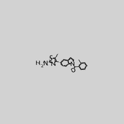 Cc1ccccc1C(=O)n1ccc2cc(-c3nc(N)sc3C)ccc21